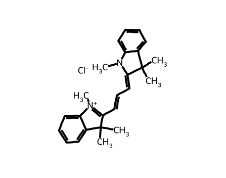 CN1C(=CC=CC2=[N+](C)c3ccccc3C2(C)C)C(C)(C)c2ccccc21.[Cl-]